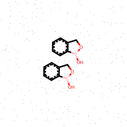 OB1OCc2ccccc21.OB1OCc2ccccc21